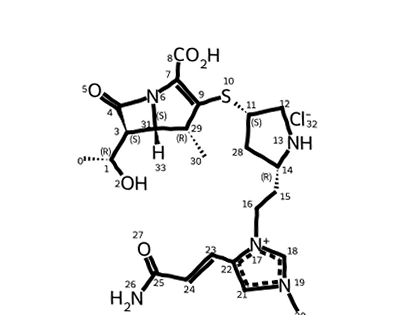 C[C@@H](O)[C@H]1C(=O)N2C(C(=O)O)=C(S[C@@H]3CN[C@H](CC[n+]4cn(C)cc4C=CC(N)=O)C3)[C@H](C)[C@H]12.[Cl-]